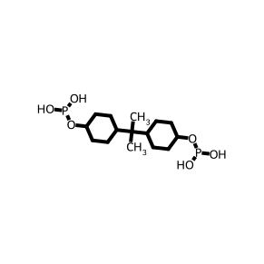 CC(C)(C1CCC(OP(O)O)CC1)C1CCC(OP(O)O)CC1